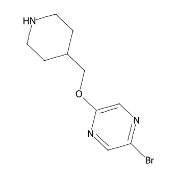 Brc1cnc(OCC2CCNCC2)cn1